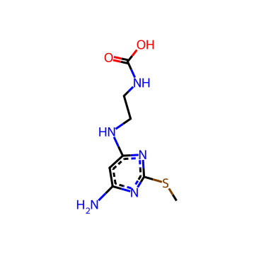 CSc1nc(N)cc(NCCNC(=O)O)n1